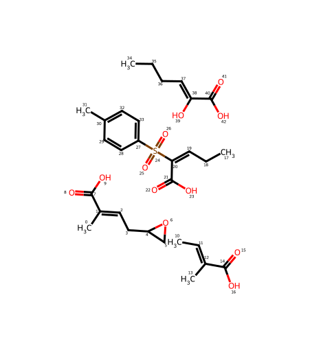 C/C(=C\CC1CO1)C(=O)O.C/C=C(\C)C(=O)O.CC/C=C(\C(=O)O)S(=O)(=O)c1ccc(C)cc1.CCC/C=C(\O)C(=O)O